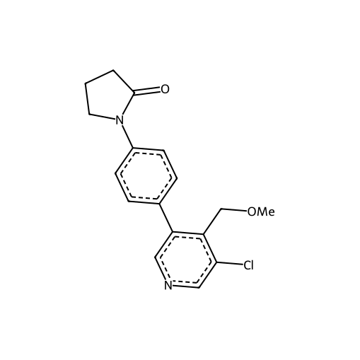 COCc1c(Cl)cncc1-c1ccc(N2CCCC2=O)cc1